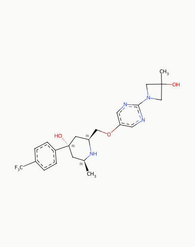 C[C@H]1C[C@@](O)(c2ccc(C(F)(F)F)cc2)C[C@@H](COc2cnc(N3CC(C)(O)C3)nc2)N1